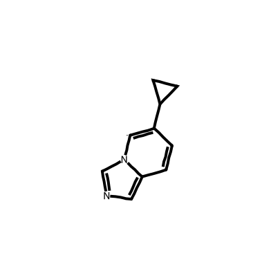 [c]1c(C2CC2)ccc2cncn12